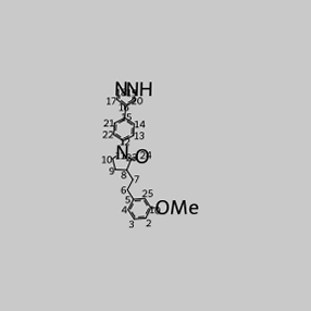 COc1cccc(CCC2CCN(c3ccc(-c4cn[nH]c4)cc3)C2=O)c1